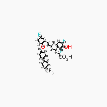 O=C(O)CCCCC(C=Cc1cc(F)ccc1OCc1ccc(-c2ccc(C(F)(F)F)cc2)cc1)Cc1cc(F)c(O)c(F)c1